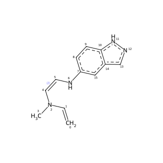 C=CN(C)/C=C\Nc1ccc2[nH]ncc2c1